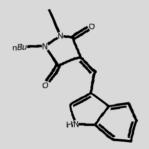 CCCCN1C(=O)/C(=C\c2c[nH]c3ccccc23)C(=O)N1C